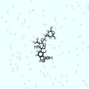 Cc1c(C(=O)N[C@H](C(=O)OCCN2CC(C)OC(C)C2)C(C)C)ccc2c1B(O)OC2